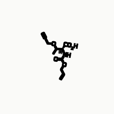 C#CCOC(C)[C@@H](NC(=O)OCC=C)C(=O)O